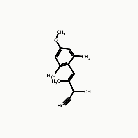 C#CC(O)C(C)=Cc1c(C)cc(OC)cc1C